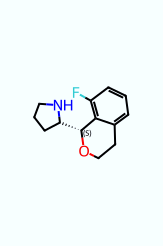 Fc1cccc2c1[C@@H](C1CCCN1)OCC2